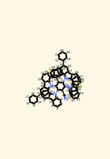 N#Cc1c(-n2c3ccccc3c3ccccc32)c(-n2c3ccc(-c4ccccc4)cc3c3ccc4sc5ccccc5c4c32)c(-c2ccccc2)c(-n2c3ccc(-c4ccccc4)cc3c3ccc4sc5ccccc5c4c32)c1-n1c2ccccc2c2ccccc21